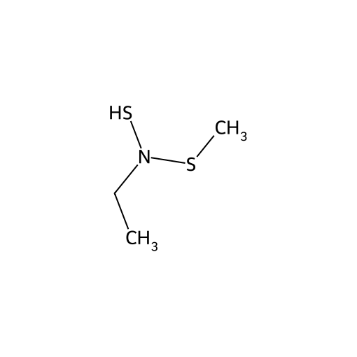 CCN(S)SC